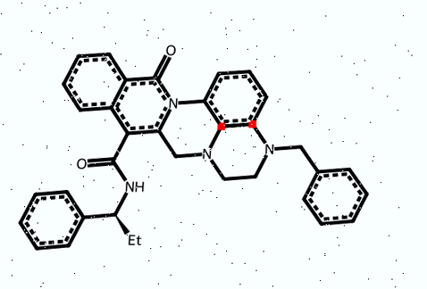 CC[C@H](NC(=O)c1c(CN2CCN(Cc3ccccc3)CC2)n(-c2ccccc2)c(=O)c2ccccc12)c1ccccc1